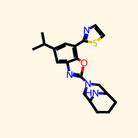 CC(C)c1cc(-c2nccs2)c2oc(N3CC4CCCC(C3)N4)nc2c1